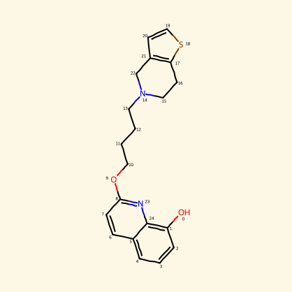 Oc1cccc2ccc(OCCCCN3CCc4sccc4C3)nc12